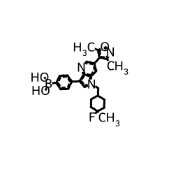 Cc1noc(C)c1-c1cnc2c(-c3ccc(B(O)O)cc3)cn(CC3CCC(C)(F)CC3)c2c1